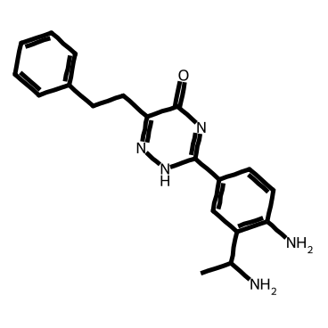 CC(N)c1cc(-c2nc(=O)c(CCc3ccccc3)n[nH]2)ccc1N